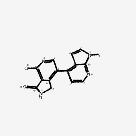 Cn1ccc2c(-c3cnc(Cl)c4c3CNC4=O)ccnc21